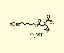 CCCCCCCCCCCCCCCOC(=O)CC(C[N+](C)(C)C)OC(=O)CC.O=[N+]([O-])[O-]